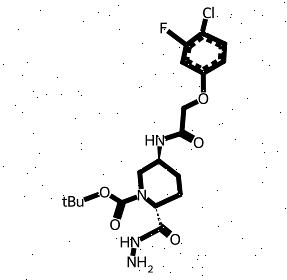 CC(C)(C)OC(=O)N1C[C@@H](NC(=O)COc2ccc(Cl)c(F)c2)CC[C@@H]1C(=O)NN